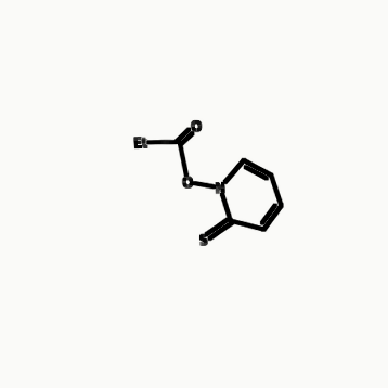 CCC(=O)On1ccccc1=S